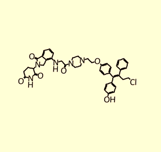 O=C1CCC(N2Cc3c(NCC(=O)N4CCN(CCOc5ccc(C(=C(CCCl)c6ccccc6)c6ccc(O)cc6)cc5)CC4)cccc3C2=O)C(=O)N1